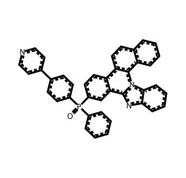 O=P(c1ccccc1)(c1ccc(-c2ccncc2)cc1)c1ccc2c(c1)c1nc3ccccc3n1c1c3ccccc3ccc21